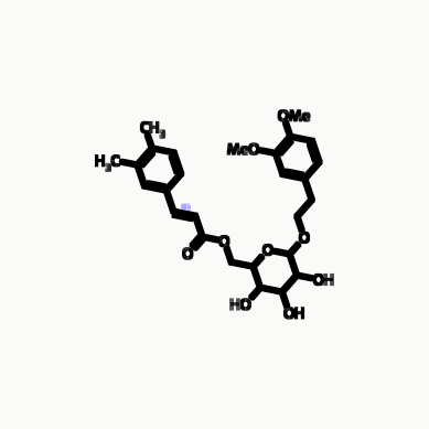 COc1ccc(CCOC2OC(COC(=O)/C=C/c3ccc(C)c(C)c3)C(O)C(O)C2O)cc1OC